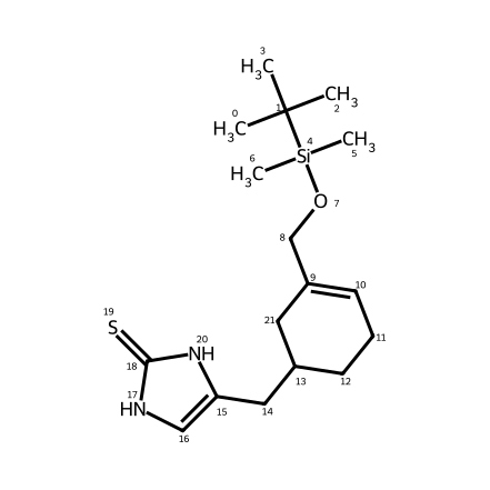 CC(C)(C)[Si](C)(C)OCC1=CCCC(Cc2c[nH]c(=S)[nH]2)C1